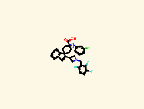 O=C(O)C1(Nc2cccc(Cl)c2)CCC2(CC1)C(C1CN(Cc3c(F)ccc(F)c3F)C1)=Cc1ccccc12